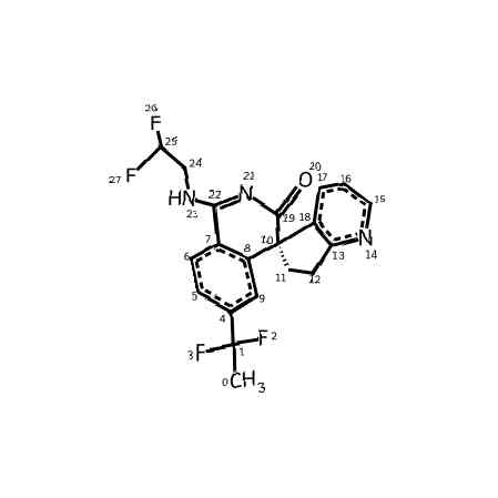 CC(F)(F)c1ccc2c(c1)[C@@]1(CCc3ncccc31)C(=O)N=C2NCC(F)F